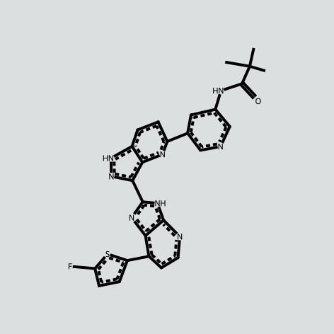 CC(C)(C)C(=O)Nc1cncc(-c2ccc3[nH]nc(-c4nc5c(-c6ccc(F)s6)ccnc5[nH]4)c3n2)c1